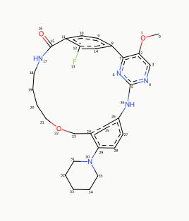 COc1cnc2nc1-c1ccc(c(F)c1)C(=O)NCCCCOCc1cc(ccc1N1CCCCC1)N2